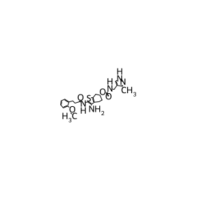 CCOc1ccccc1CCC(=O)Nc1sc2c(c1N)CCC(OC(=O)NCc1c[nH]nc1C)C2